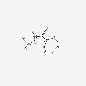 C=C(C1CCCCCC1)N(C)CC(C)C